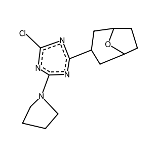 Clc1nc(C2CC3CCC(C2)O3)nc(N2CCCC2)n1